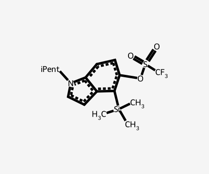 CCCC(C)n1ccc2c([Si](C)(C)C)c(OS(=O)(=O)C(F)(F)F)ccc21